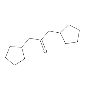 O=C(CC1CCCC1)CC1CCCC1